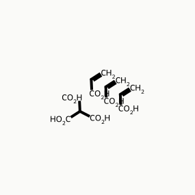 C=CC(=O)O.C=CC(=O)O.C=CC(=O)O.O=C(O)C(C(=O)O)C(=O)O